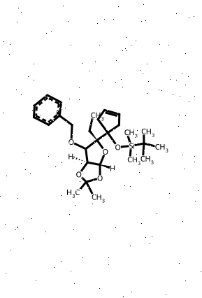 CC[C@@]1(C2(O[Si](C)(C)C(C)(C)C)CC=CC2)O[C@@H]2OC(C)(C)O[C@H]2C1OCc1ccccc1